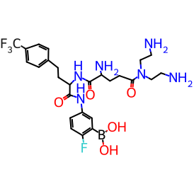 NCCN(CCN)C(=O)CCC(N)C(=O)NC(CCc1ccc(C(F)(F)F)cc1)C(=O)Nc1ccc(F)c(B(O)O)c1